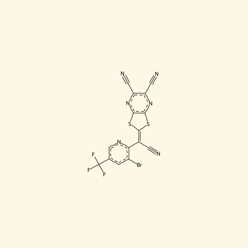 N#CC(=C1Sc2nc(C#N)c(C#N)nc2S1)c1ncc(C(F)(F)F)cc1Br